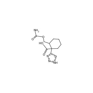 NC(=O)OCC1CCCCC1(C(=O)O)c1c[nH]nn1